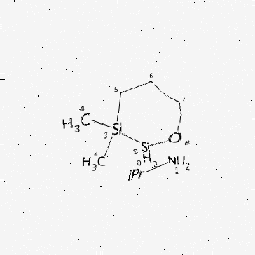 CC(C)N.C[Si]1(C)CCCO[SiH2]1